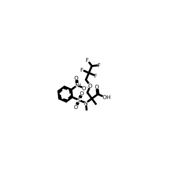 CN(C(C)(COCC(F)(F)C(F)F)C(=O)O)S(=O)(=O)c1ccccc1[N+](=O)[O-]